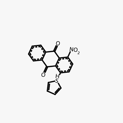 O=C1c2ccccc2C(=O)c2c([SH]3C=CC=C3)ccc([N+](=O)[O-])c21